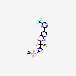 CC(C)(C(=O)Nc1ncc(-c2cncc(C(F)(F)F)n2)cc1F)c1csc(NS(=O)(=O)C2CC2)n1